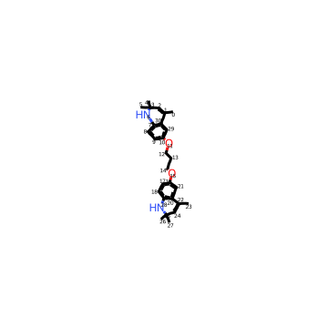 CC1=CC(C)(C)Nc2ccc(OCCCOc3ccc4c(c3)C(C)=CC(C)(C)N4)cc21